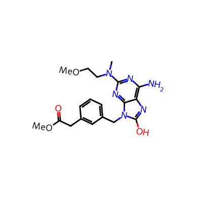 COCCN(C)c1nc(N)c2nc(O)n(Cc3cccc(CC(=O)OC)c3)c2n1